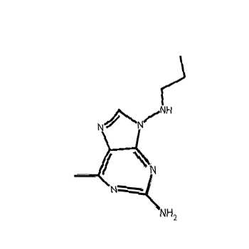 CCCNn1cnc2c(C)nc(N)nc21